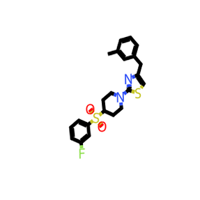 Cc1cccc(Cc2csc(N3CCC(S(=O)(=O)c4cccc(F)c4)CC3)n2)c1